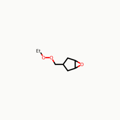 CCOOCC1CC2OC2C1